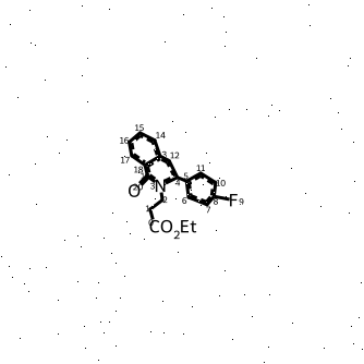 CCOC(=O)CCn1c(-c2ccc(F)cc2)cc2ccccc2c1=O